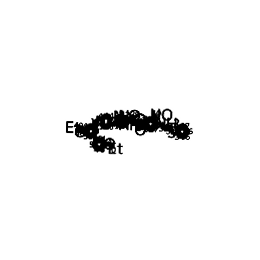 CCOc1cccc(-c2cc(CN3CCN(c4ccc(C(=O)NS(=O)(=O)c5ccc(NCCSc6ccccc6)c([N+](=O)[O-])c5)nn4)CC3)cc(OCC)c2)c1